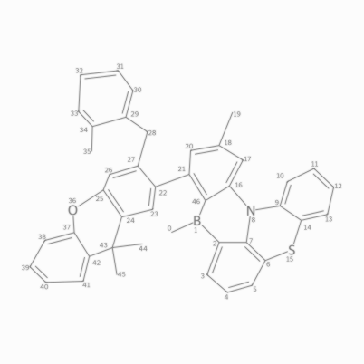 CB1c2cccc3c2N(c2ccccc2S3)c2cc(C)cc(-c3cc4c(cc3Cc3ccccc3C)Oc3ccccc3C4(C)C)c21